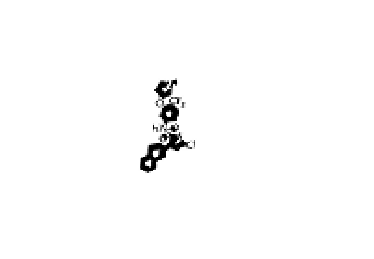 CN1CC[C@@H](Oc2cc(NS(=O)(=O)c3sc(Cl)cc3-c3ccc4ccccc4c3)ccc2C(F)(F)F)C1